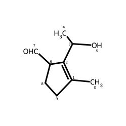 CC1=C(C(C)O)C(C=O)CC1